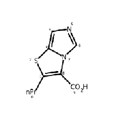 CCCc1sc2cncn2c1C(=O)O